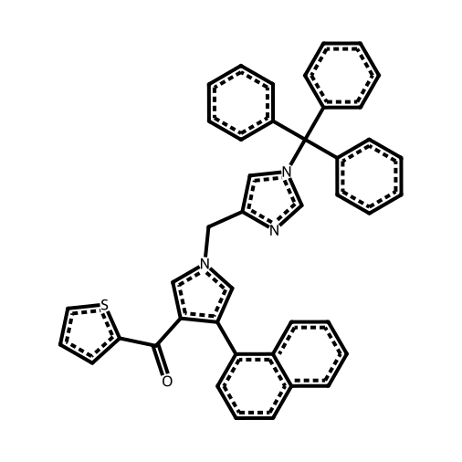 O=C(c1cccs1)c1cn(Cc2cn(C(c3ccccc3)(c3ccccc3)c3ccccc3)cn2)cc1-c1cccc2ccccc12